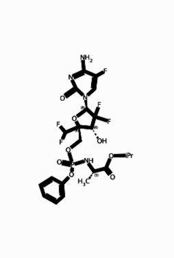 CC(C)OC(=O)[C@H](C)NP(=O)(OC[C@@]1(C(F)F)O[C@@H](n2cc(F)c(N)nc2=O)C(F)(F)[C@@H]1O)Oc1ccccc1